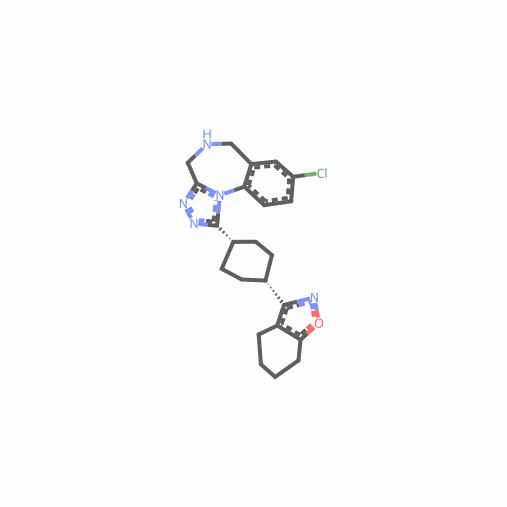 Clc1ccc2c(c1)CNCc1nnc([C@H]3CC[C@@H](c4noc5c4CCCC5)CC3)n1-2